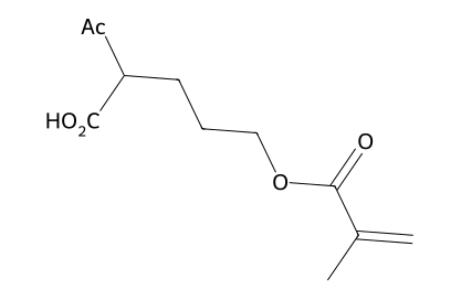 C=C(C)C(=O)OCCCC(C(C)=O)C(=O)O